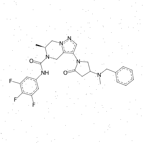 C[C@H]1Cn2ncc(N3CC(N(C)Cc4ccccc4)CC3=O)c2CN1C(=O)Nc1cc(F)c(F)c(F)c1